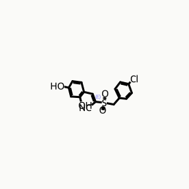 N#C/C(=C\c1ccc(O)cc1O)S(=O)(=O)Cc1ccc(Cl)cc1